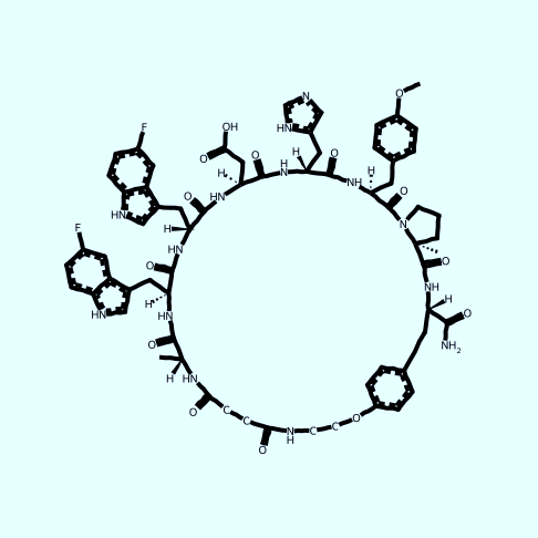 COc1ccc(C[C@@H]2NC(=O)[C@@H](Cc3cnc[nH]3)NC(=O)[C@H](CC(=O)O)NC(=O)[C@@H](Cc3c[nH]c4ccc(F)cc34)NC(=O)[C@H](Cc3c[nH]c4ccc(F)cc34)NC(=O)[C@@H](C)NC(=O)CCC(=O)NCCOc3ccc(cc3)C[C@@H](C(N)=O)NC(=O)[C@]3(C)CCCN3C2=O)cc1